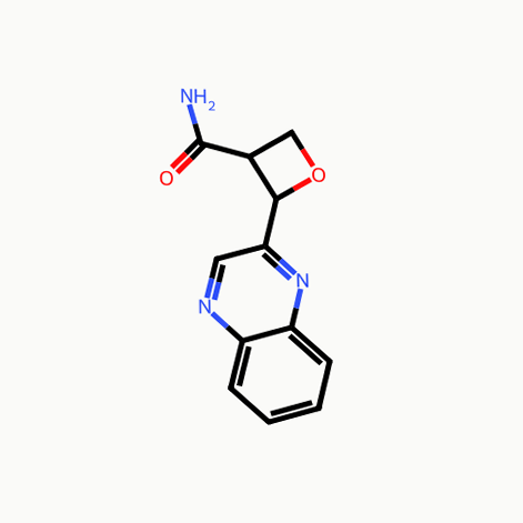 NC(=O)C1COC1c1cnc2ccccc2n1